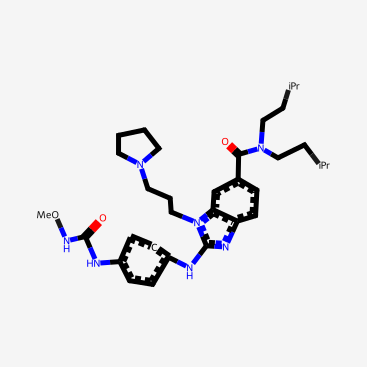 CONC(=O)Nc1ccc(Nc2nc3ccc(C(=O)N(CCC(C)C)CCC(C)C)cc3n2CCCN2CCCC2)cc1